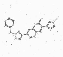 O=c1oc2cc(-c3cnn(Cc4ccccc4)n3)ccc2cc1-n1cc(Cl)cn1